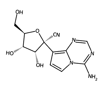 N#C[C@@]1(c2ccn3c(N)ncnc23)O[C@H](CO)[C@@H](O)[C@H]1O